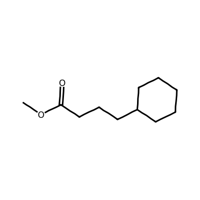 COC(=O)CCCC1CCCCC1